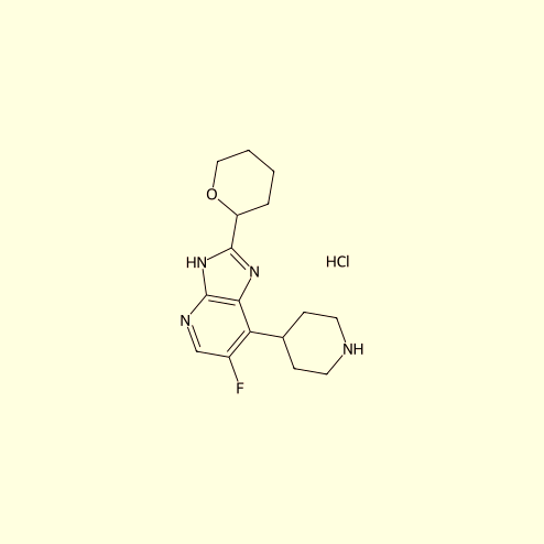 Cl.Fc1cnc2[nH]c(C3CCCCO3)nc2c1C1CCNCC1